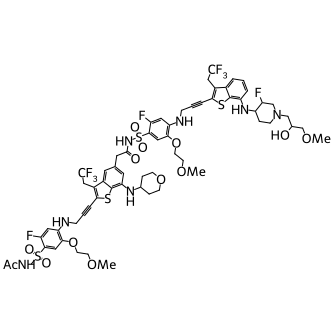 COCCOc1cc(S(=O)(=O)NC(C)=O)c(F)cc1NCC#Cc1sc2c(NC3CCOCC3)cc(CC(=O)NS(=O)(=O)c3cc(OCCOC)c(NCC#Cc4sc5c(NC6CCN(CC(O)COC)CC6F)cccc5c4CC(F)(F)F)cc3F)cc2c1CC(F)(F)F